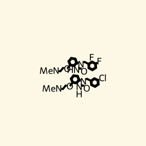 CNCCOc1cccc2c1[nH]c(=O)n2Cc1cccc(Cl)c1.CNCCOc1cccc2c1[nH]c(=O)n2Cc1cccc(F)c1F